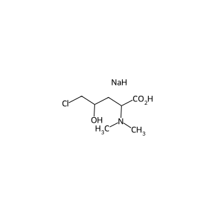 CN(C)C(CC(O)CCl)C(=O)O.[NaH]